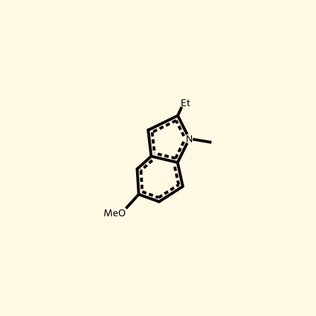 CCc1cc2cc(OC)ccc2n1C